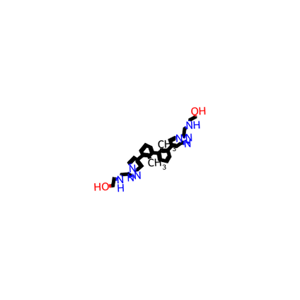 Cc1c(-c2ccn3c(CNCCO)nnc3c2)cccc1-c1cccc(-c2ccn3c(CNCCO)nnc3c2)c1C